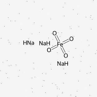 [NaH].[NaH].[NaH].[O]=[Fe](=[O])(=[O])=[O]